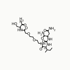 CCC(C)[C@H](NC(=O)N[C@H](CC(N)=O)C(N)=O)C(=O)NCCOCCOCC(=O)N[C@@H](CO)C(N)=O